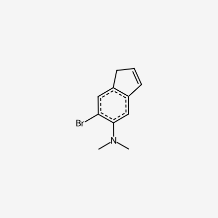 CN(C)c1cc2c(cc1Br)CC=C2